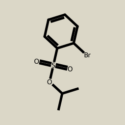 CC(C)OS(=O)(=O)c1ccccc1Br